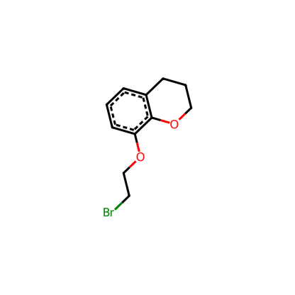 BrCCOc1cccc2c1OCCC2